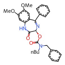 CCCCN(Cc1ccccc1)C(=O)O[C@@H]1N=C(c2ccccc2)c2cc(OC)c(OC)cc2NC1=O